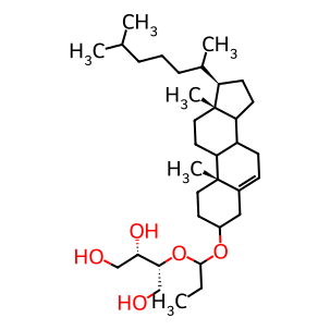 CCC(OC1CC[C@@]2(C)C(=CCC3C2CC[C@@]2(C)C3CC[C@@H]2C(C)CCCC(C)C)C1)O[C@H](CO)[C@@H](O)CO